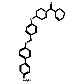 CCOC(=O)c1ccc(-c2ccc(OCc3ccc(OC4CCN(C(=O)C5C=CCCC5)CC4)cc3)cc2)cc1